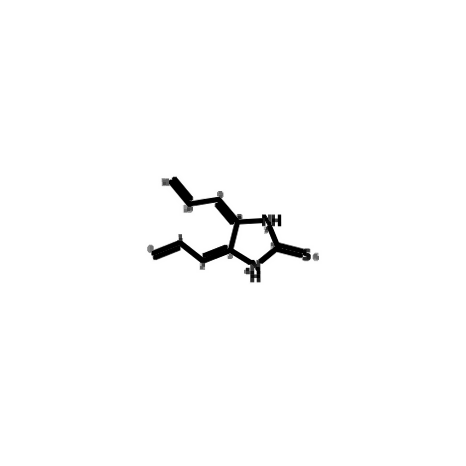 C=C/C=c1/[nH]c(=S)[nH]/c1=C/C=C